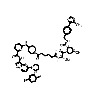 Cc1ncsc1-c1ccc(CNC(=O)[C@@H]2C[C@@H](O)CN2C(=O)[C@@H](NC(=O)CCCCC(=O)N2CCC(Nc3cccc(C(=O)Nc4cnn5ccc(N6CCC[C@@H]6c6cc(F)ccc6F)nc45)n3)CC2)C(C)(C)C)cc1